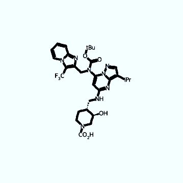 CC(C)c1cnn2c(N(Cc3nc4ccccn4c3C(F)(F)F)C(=O)OC(C)(C)C)cc(NC[C@H]3CCN(C(=O)O)C[C@@H]3O)nc12